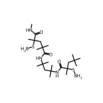 BSC(C)(CC(C)(C)C(=O)NC(C)(C)CC(C)(C)NC(=O)C(C)(CC(C)(C)C)SB)C(=O)NC